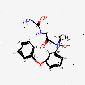 C[N+](O)(C(=O)CNC(N)=O)c1cccc(Oc2ccccc2)c1